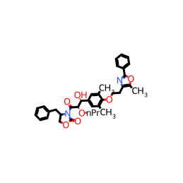 CCCO[C@H](C(=O)N1C(=O)OCC1Cc1ccccc1)[C@H](O)c1cc(C)c(OCCc2nc(-c3ccccc3)oc2C)c(C)c1